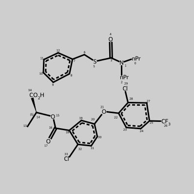 CCCN(CCC)C(=O)SCc1ccccc1.C[C@H](OC(=O)c1cc(Oc2ccc(C(F)(F)F)cc2Cl)ccc1Cl)C(=O)O